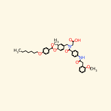 CCCCCCCOc1ccc(C(=O)OC2C=CC(CN(CC(=O)O)C(=O)c3ccc(NC(=O)Cc4ccccc4OC)cc3)=CC2C)cc1